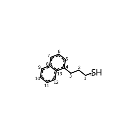 SCCCc1cccc2ccccc12